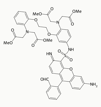 COC(=O)CN(CC(=O)OC)c1ccccc1OCCOc1cc(NS(=O)(=O)c2c3oc4cc(N)ccc4c(-c4ccccc4C=O)c-3ccc2=N)ccc1N(CC(=O)OC)CC(=O)OC